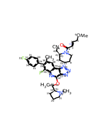 COC/C=C/C(=O)N1CC[C@H](n2nnc3c(O[C@@H](C)[C@@H]4CCCN4C)nc4c(F)c(-c5ccc(F)cc5)c(C)cc4c32)C[C@H]1CC#N